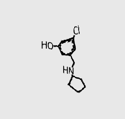 Oc1cc(Cl)cc(CNC2CCCC2)c1